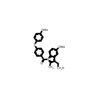 COc1ccc(Sc2ccc(C(=O)n3c(C)c(CC(=O)O)c4cc(OC)ccc43)cc2)cc1